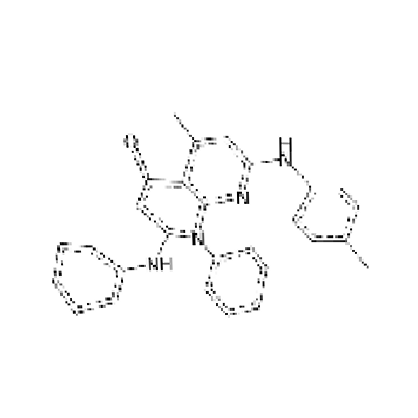 Cc1ccc(Nc2cc(C)c3c(=O)cc(Nc4ccccc4)n(-c4ccccc4)c3n2)cc1